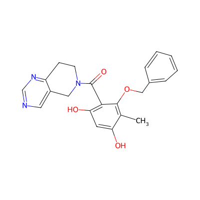 Cc1c(O)cc(O)c(C(=O)N2CCc3ncncc3C2)c1OCc1ccccc1